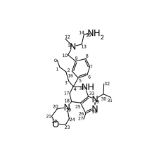 CCCCC1(c2cccc(CN(C)CCN)c2)CC(N2CCOCC2)c2c(C)nn(C(C)C)c2N1